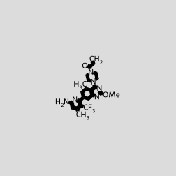 C=CC(=O)N1CCN(c2nc(OC)nc3c2CCC(c2nc(N)cc(C)c2C(F)(F)F)C3)[C@@H](C)C1